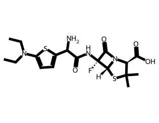 CCN(CC)c1ccc(C(N)C(=O)N[C@@]2(F)C(=O)N3[C@@H](C(=O)O)C(C)(C)S[C@@H]32)s1